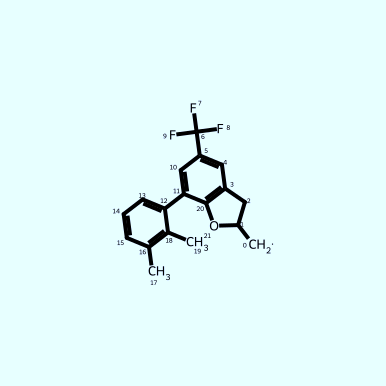 [CH2]C1Cc2cc(C(F)(F)F)cc(-c3cccc(C)c3C)c2O1